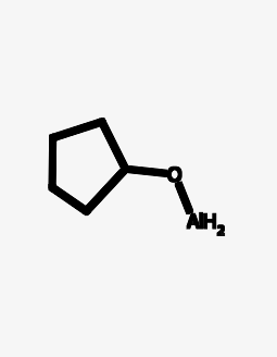 [AlH2][O]C1CCCC1